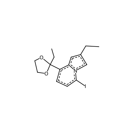 CCc1cc2c(C3(CC)OCCO3)ccc(I)n2c1